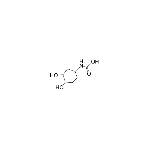 O=C(O)NC1CCC(O)C(O)C1